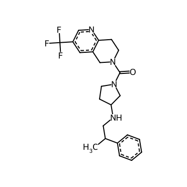 CC(CNC1CCN(C(=O)N2CCc3ncc(C(F)(F)F)cc3C2)C1)c1ccccc1